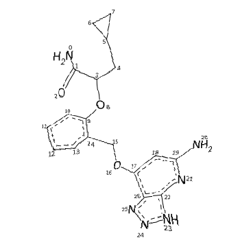 NC(=O)C(CC1CC1)Oc1ccccc1COc1cc(N)nc2[nH]nnc12